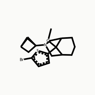 COC1(c2ccc(Br)s2)C2CCCC1CN(C13CC(C1)C3)C2